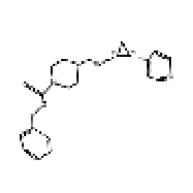 O=C(OCc1ccccc1)N1CCC(CN[C@H]2C[C@@H]2c2ccccc2)CC1